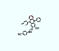 C=C/C=C\C(=C/C)N(c1ccccc1)c1cc(OCBc2ccc(C#N)cc2)c(O)cc1N(c1ccccc1)c1ccccc1